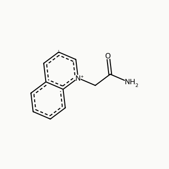 NC(=O)C[n+]1c[c]cc2ccccc21